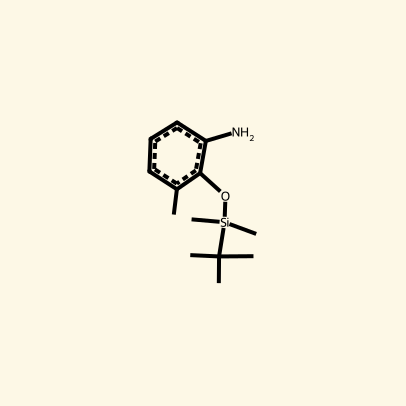 Cc1cccc(N)c1O[Si](C)(C)C(C)(C)C